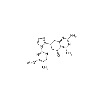 COc1nc(-n2ccnc2C2CC(=O)c3c(C)nc(N)nc3C2)ncc1C